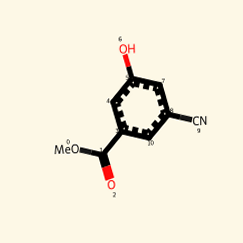 COC(=O)c1cc(O)cc(C#N)c1